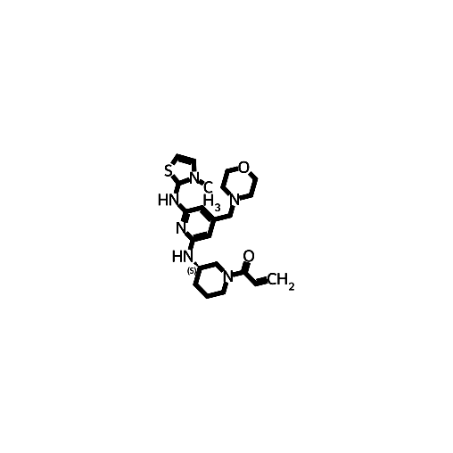 C=CC(=O)N1CCC[C@H](Nc2cc(CN3CCOCC3)cc(NC3SC=CN3C)n2)C1